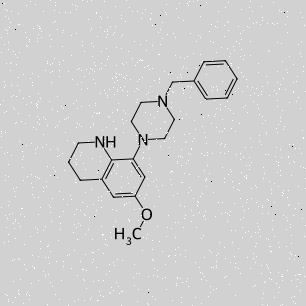 COc1cc2c(c(N3CCN(Cc4ccccc4)CC3)c1)NCCC2